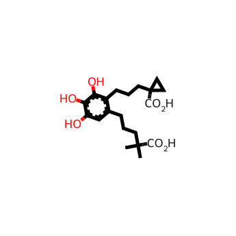 CC(C)(CCCc1cc(O)c(O)c(O)c1CCCC1(C(=O)O)CC1)C(=O)O